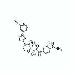 C[C@]1(C(O)C(=O)Nc2ccc3c(N)noc3c2)OCCN(c2ccn(-c3cnnc(C#N)c3)n2)C1=O